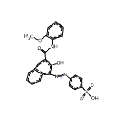 COc1ccccc1NC(=O)c1cc2ccccc2c(/N=N/c2ccc(S(=O)(=O)O)cc2)c1O